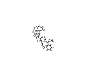 CN1C(=O)[C@@H](NC(=O)c2coc(C3(c4ccccc4)CC3)n2)COc2ccccc21